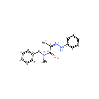 CC(=O)C(=NNc1ccccc1)C(=O)N(Cc1ccccc1)C(C)C